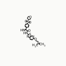 CN(C)CCOc1ccc2nc(NC(=O)C(=N)c3ccc(S(=O)(=O)[C@H]4CCOC4)cc3)sc2n1